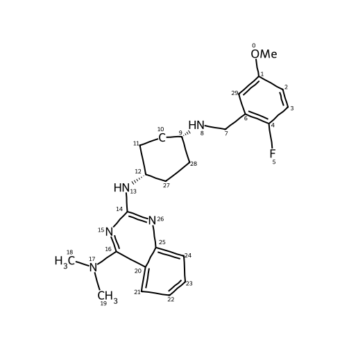 COc1ccc(F)c(CN[C@H]2CC[C@@H](Nc3nc(N(C)C)c4ccccc4n3)CC2)c1